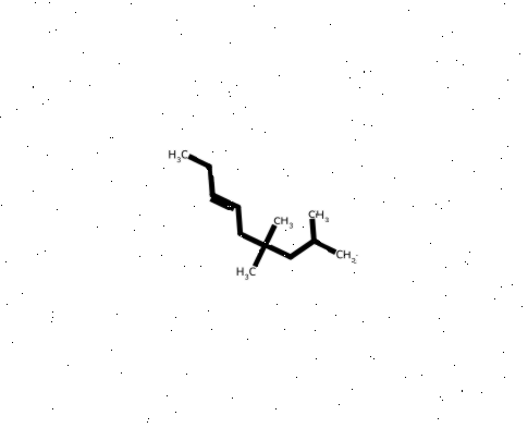 [CH2]C(C)CC(C)(C)CC=CCC